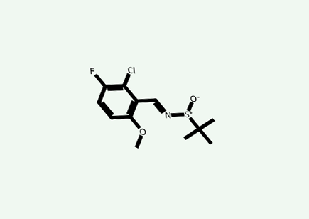 COc1ccc(F)c(Cl)c1/C=N/[S+]([O-])C(C)(C)C